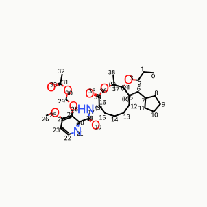 CCCO[C@@H]1[C@@H](CC2CCCC2)CCCC[C@H](NC(=O)c2nccc(OC)c2OCOC(C)=O)C(=O)O[C@H]1C